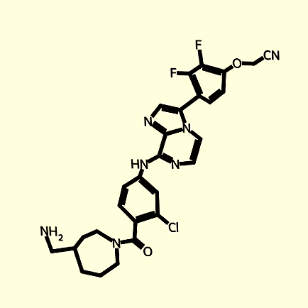 N#CCOc1ccc(-c2cnc3c(Nc4ccc(C(=O)N5CCCC(CN)CC5)c(Cl)c4)nccn23)c(F)c1F